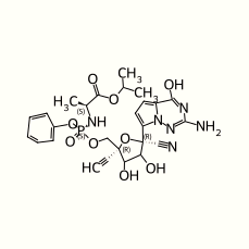 C#C[C@]1(CO[P@@](=O)(N[C@@H](C)C(=O)OC(C)C)Oc2ccccc2)O[C@@](C#N)(c2ccc3c(O)nc(N)nn23)C(O)C1O